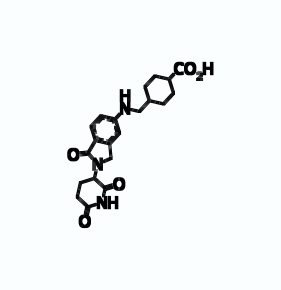 O=C1CCC(N2Cc3cc(NCC4CCC(C(=O)O)CC4)ccc3C2=O)C(=O)N1